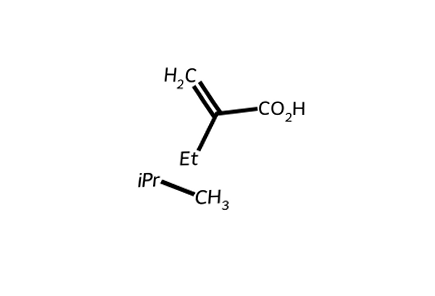 C=C(CC)C(=O)O.CC(C)C